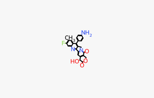 Cc1cc2c(-c3ccc(N)cc3)c3c(nc2cc1F)-c1cc2c(c(=O)n1C3)COC(=O)[C@H]2O